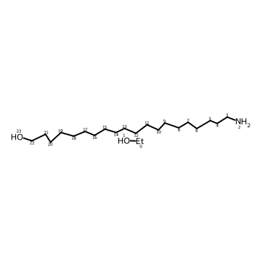 CCO.NCCCCCCCCCCCCCCCCCCCCO